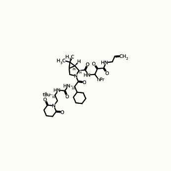 C=CCNC(=O)C(=O)C(CCC)NC(=O)[C@@H]1[C@@H]2C(CN1C(=O)[C@@H](NC(=O)N[C@H](CN1C(=O)CCCC1=O)C(C)(C)C)C1CCCCC1)C2(C)C